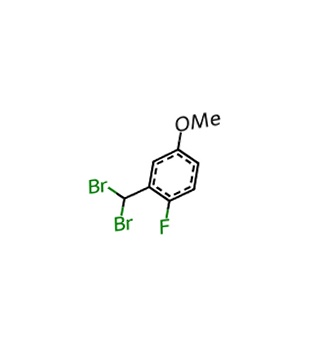 COc1ccc(F)c(C(Br)Br)c1